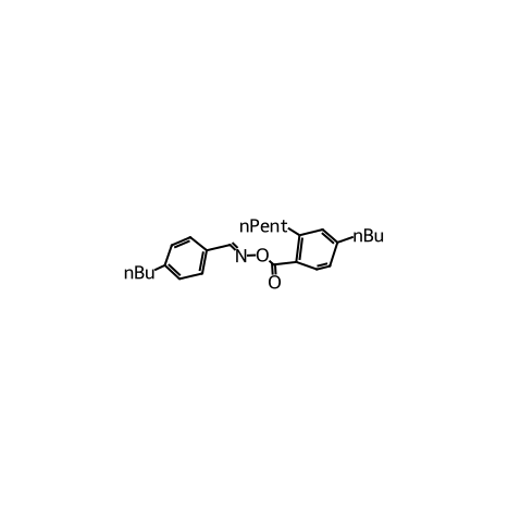 CCCCCc1cc(CCCC)ccc1C(=O)ON=Cc1ccc(CCCC)cc1